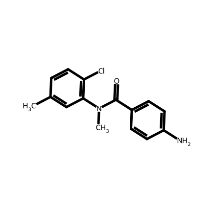 Cc1ccc(Cl)c(N(C)C(=O)c2ccc(N)cc2)c1